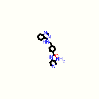 Nc1cnccc1NC(=O)c1ccc(CNc2ncnc3ccccc23)cc1